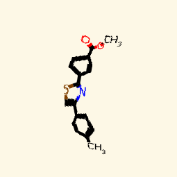 COC(=O)c1ccc(-c2nc(-c3ccc(C)cc3)cs2)cc1